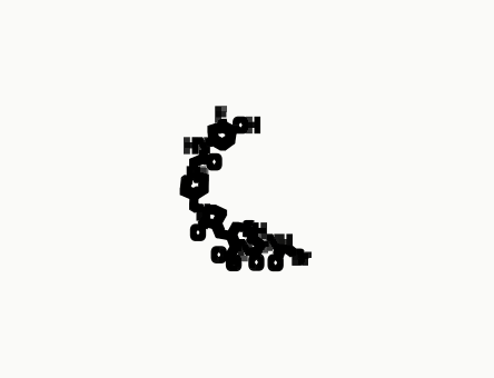 O=C(C[n+]1ccc(CN2CCC(=CC3=C(C(=O)[O-])N4C(=O)[C@@H](NC(=O)CBr)[C@H]4SC3)C2=O)cc1)Nc1ccc(O)c(F)c1